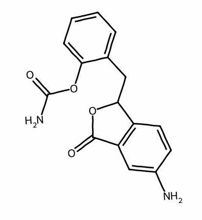 NC(=O)Oc1ccccc1CC1OC(=O)c2cc(N)ccc21